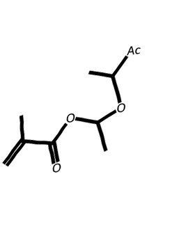 C=C(C)C(=O)OC(C)OC(C)C(C)=O